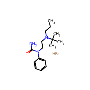 Br.CCCN(CCN(C(N)=O)c1ccccc1)C(C)(C)C